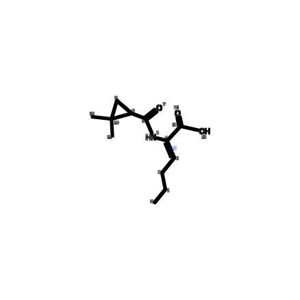 CCC/C=C(\NC(=O)C1CC1(C)C)C(=O)O